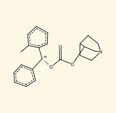 Cc1ccccc1[C@H](OC(=O)OC1CN2CCC1CC2)c1ccccc1